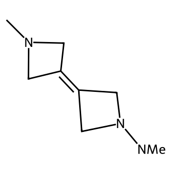 CNN1CC(=C2CN(C)C2)C1